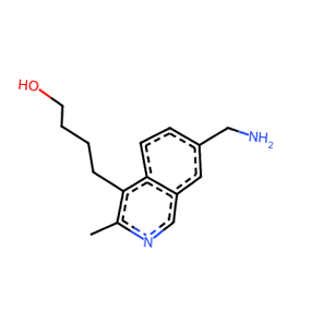 Cc1ncc2cc(CN)ccc2c1CCCCO